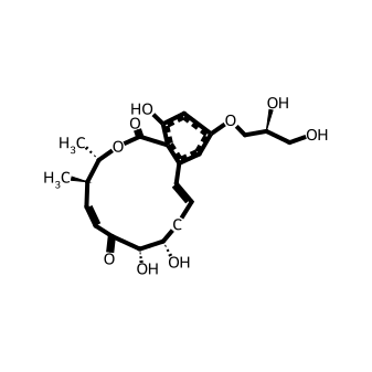 C[C@@H]1/C=C\C(=O)[C@@H](O)[C@@H](O)C/C=C/c2cc(OC[C@@H](O)CO)cc(O)c2C(=O)O[C@H]1C